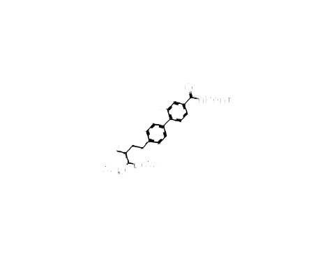 CCCCCC(=O)c1ccc(-c2ccc(CCC(C)C(OC(C)=O)OC(C)=O)cc2)cc1